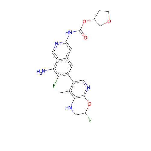 Cc1c(-c2cc3cc(NC(=O)O[C@@H]4CCOC4)ncc3c(N)c2F)cnc2c1NCC(F)O2